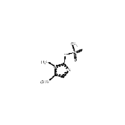 Cn1c(C=O)cnc1OS(=O)(=O)C(F)(F)F